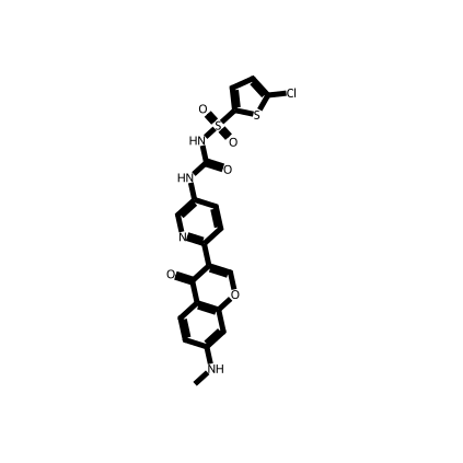 CNc1ccc2c(=O)c(-c3ccc(NC(=O)NS(=O)(=O)c4ccc(Cl)s4)cn3)coc2c1